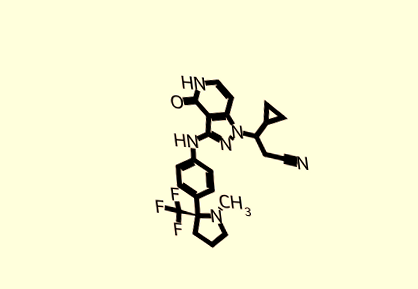 CN1CCC[C@@]1(c1ccc(Nc2nn(C(CC#N)C3CC3)c3cc[nH]c(=O)c23)cc1)C(F)(F)F